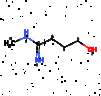 CNC(=N)CCCO